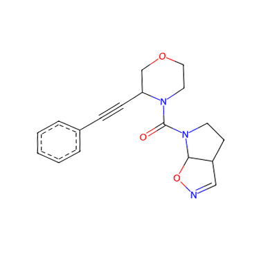 O=C(N1CCOCC1C#Cc1ccccc1)N1CCC2C=NOC21